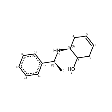 C[C@H](N[C@H]1CC=CC[C]1O)c1ccccc1